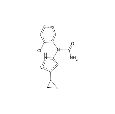 NC(=O)N(c1cc(C2CC2)n[nH]1)c1ccccc1Cl